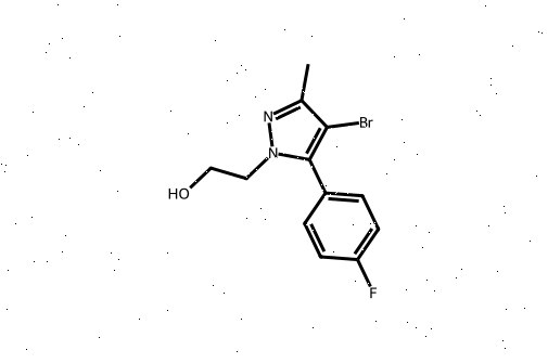 Cc1nn(CCO)c(-c2ccc(F)cc2)c1Br